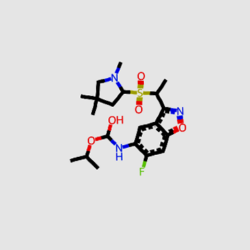 CC(C)OC(O)Nc1cc2c(C(C)S(=O)(=O)C3CC(C)(C)CN3C)noc2cc1F